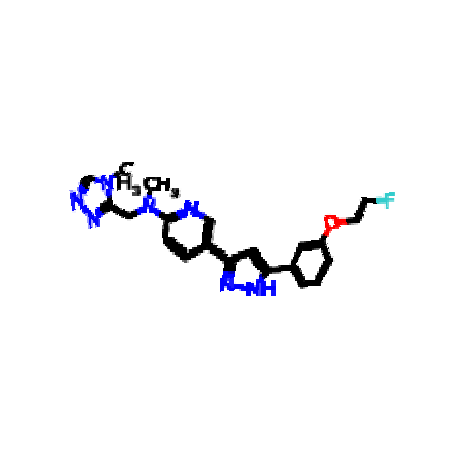 CN(Cc1nncn1C)c1ccc(-c2cc(-c3cccc(OCCF)c3)[nH]n2)cn1